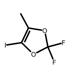 CC1=C(I)OC(F)(F)O1